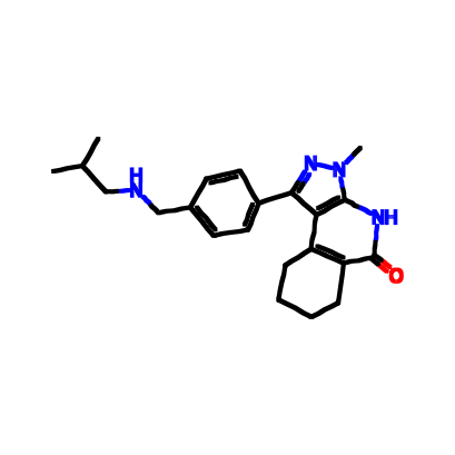 CC(C)CNCc1ccc(-c2nn(C)c3[nH]c(=O)c4c(c23)CCCC4)cc1